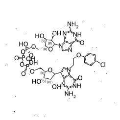 Nc1nc2c(ncn2C2O[C@H](COP(=O)(O)OP(=O)(O)OP(=O)(O)OC[C@H]3OC(c4cn(CCOc5ccc(Cl)cc5)c5c(=O)[nH]c(N)nc45)[C@H](O)[C@@H]3O)[C@@H](O)[C@H]2O)c(=O)[nH]1